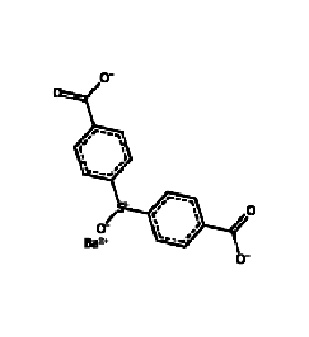 O=C([O-])c1ccc([S+]([O-])c2ccc(C(=O)[O-])cc2)cc1.[Ba+2]